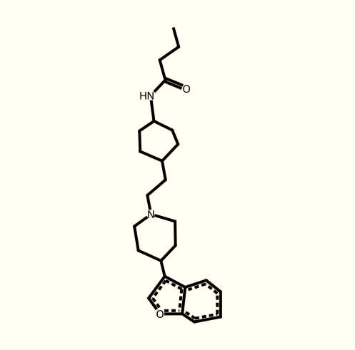 CCCC(=O)NC1CCC(CCN2CCC(c3coc4ccccc34)CC2)CC1